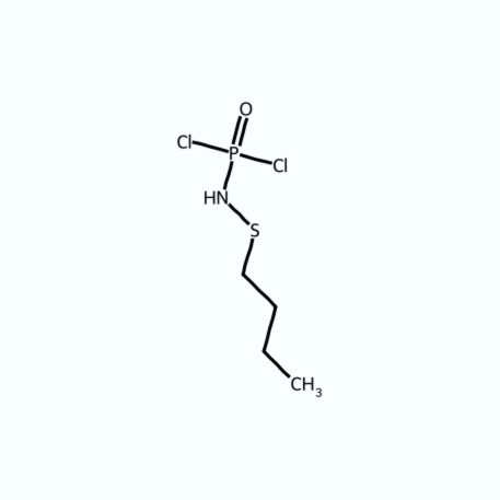 CCCCSNP(=O)(Cl)Cl